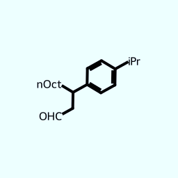 CCCCCCCCC(CC=O)c1ccc(C(C)C)cc1